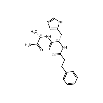 C[C@H](NC(=O)[C@H](Cc1cnc[nH]1)NC(=O)CCc1ccccc1)C(N)=O